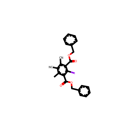 Cc1c(C#N)c(C#N)c(C(=O)OCc2ccccc2)c(I)c1C(=O)OCc1ccccc1